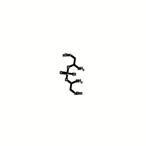 CCCCCCCCCCCC(N)OP(=O)(CC)OC(N)CCCCCCCCCCC